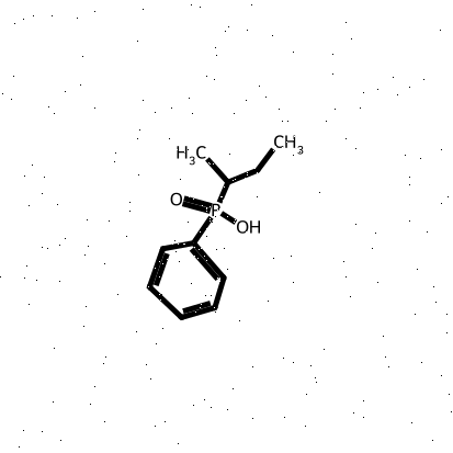 CCC(C)P(=O)(O)c1ccccc1